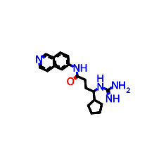 N=C(N)NC(CCC(=O)Nc1ccc2cnccc2c1)C1CCCC1